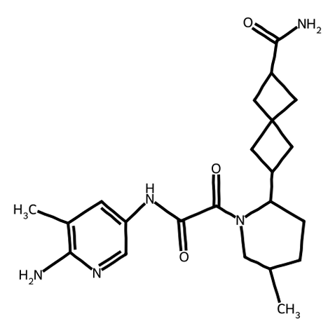 Cc1cc(NC(=O)C(=O)N2CC(C)CCC2C2CC3(CC(C(N)=O)C3)C2)cnc1N